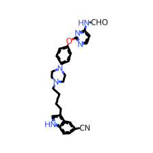 N#Cc1ccc2[nH]cc(CCCCN3CCN(c4ccc(Oc5nccc(NC=O)n5)cc4)CC3)c2c1